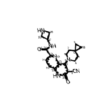 N#Cc1c(N2CCC3(CC2)CC3)c2nc(C(=O)NC3CNC3)ccc2[nH]c1=O